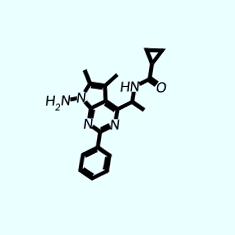 Cc1c(C)n(N)c2nc(-c3ccccc3)nc(C(C)NC(=O)C3CC3)c12